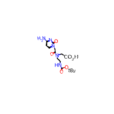 CC(C)(C)OC(=O)NCCN(CC(=O)O)C(=O)Cn1ccc(N)nc1=O